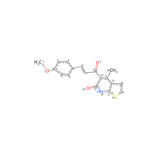 COc1ccc(C=CC(=O)c2c(C)c3ccsc3[nH]c2=O)cc1